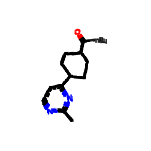 CCCCC(=O)C1CCC(c2ccnc(C)n2)CC1